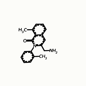 Cc1ccccc1-n1c(CN)cc2cccc(C)c2c1=O